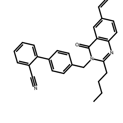 C=Cc1ccc2nc(CCCC)n(Cc3ccc(-c4ccccc4C#N)cc3)c(=O)c2c1